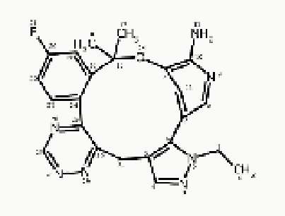 CCn1ncc2c1-c1cnc(N)c(c1)OC(C)(C)c1cc(F)ccc1-c1ncnnc1C2